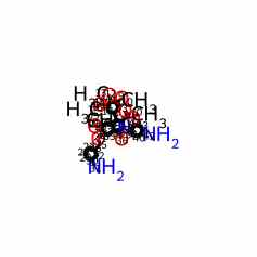 COC(=O)c1c(-c2cc(OC)c(OC)c(OC)c2)c2cc(OC)c(OCc3cccc(N)c3)cc2c(=O)n1-c1ccc(N)cc1